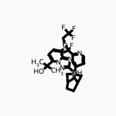 CC(C)(O)c1ccc(OCC(F)(F)F)c2nc(NC3C4CCC3CN(c3ccnc(C(F)(F)F)c3)C4)nn12